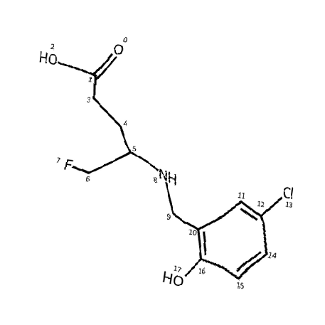 O=C(O)CCC(CF)NCc1cc(Cl)ccc1O